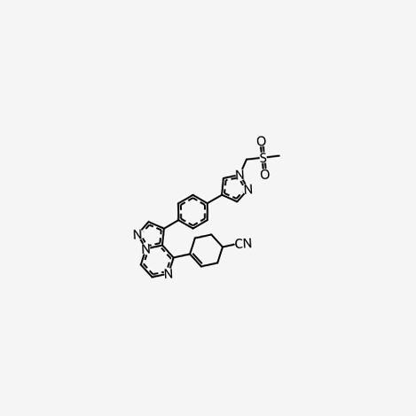 CS(=O)(=O)Cn1cc(-c2ccc(-c3cnn4ccnc(C5=CCC(C#N)CC5)c34)cc2)cn1